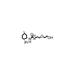 CC(C)[C@@H]1CC[C@@H](C)C[C@@H]1NC(=O)NCCOCCO